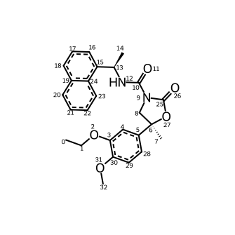 CCOc1cc([C@@]2(C)CN(C(=O)N[C@H](C)c3cccc4ccccc34)C(=O)O2)ccc1OC